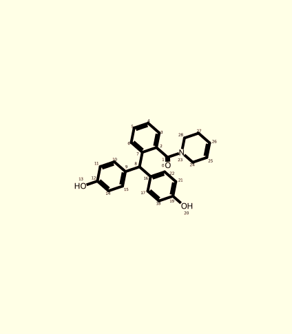 O=C(c1ccccc1C(c1ccc(O)cc1)c1ccc(O)cc1)N1CC=CCC1